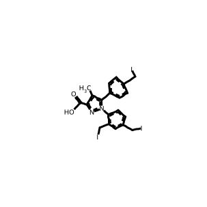 Cc1c(C(=O)O)nn(-c2ccc(CI)cc2CI)c1-c1ccc(CI)cc1